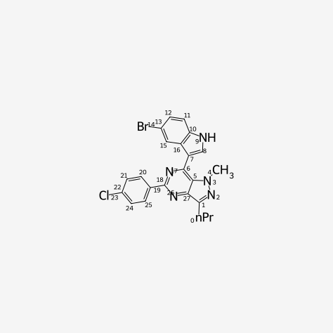 CCCc1nn(C)c2c(-c3c[nH]c4ccc(Br)cc34)nc(-c3ccc(Cl)cc3)nc12